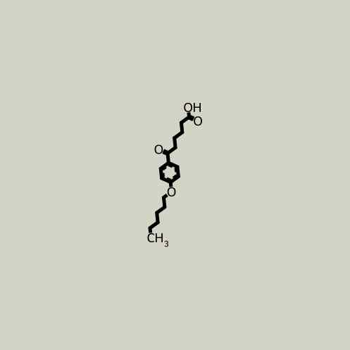 CCCCCCOc1ccc(C(=O)CCCCC(=O)O)cc1